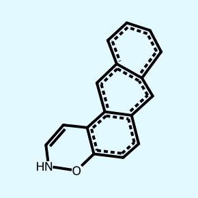 C1=Cc2c(ccc3cc4ccccc4cc23)ON1